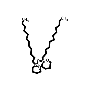 CCCCCCCCCCC[CH2][Sn]1([O][Sn]2([CH2]CCCCCCCCCCC)[CH2]CCC[O]2)[CH2]CCC[O]1